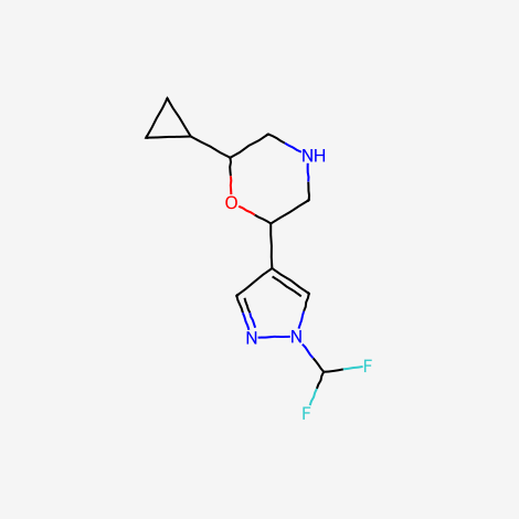 FC(F)n1cc(C2CNCC(C3CC3)O2)cn1